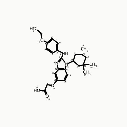 CCOc1ccc(Nc2nc3cc(OCC(=O)O)ccc3n2C2C[C@H](C)CC(C)(C)C2)cc1